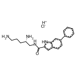 NCCC[C@H](N)CNC(=O)c1cc2ccc(-c3ccccc3)cc2[nH]1.[Cl-].[H+]